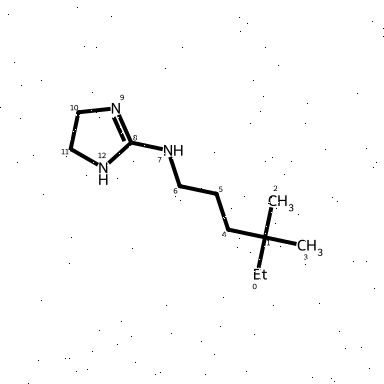 CCC(C)(C)CCCNC1=NCCN1